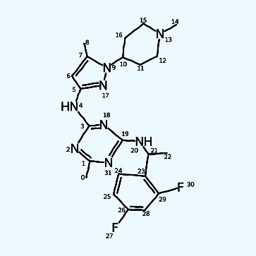 Cc1nc(Nc2cc(C)n(C3CCN(C)CC3)n2)nc(NC(C)c2ccc(F)cc2F)n1